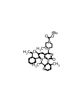 C=Cc1ccccc1-c1c(Cl)cc2c(N3CCN(C(=O)OC(C)(C)C)C[C@@H]3C)nc(=O)n3c2[n+]1C(C)c1nccc(C)c1-3